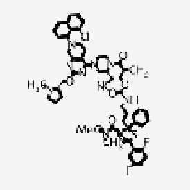 C=C(COC(=O)NCCC[C@@]1(c2ccccc2)SC(c2cc(F)ccc2F)=NN1C(=O)N(C)OC)C(=O)N1CCN(c2nc(OC[C@@H]3CCCN3C)nc3c2CCN(c2cccc4cccc(Cl)c24)C3)C[C@@H]1CC#N